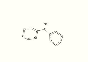 [Na+].c1ccc([P-]c2ccccc2)cc1